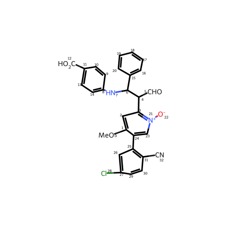 COc1cc(C(C=O)C(Nc2ccc(C(=O)O)cc2)c2ccccc2)[n+]([O-])cc1-c1cc(Cl)ccc1C#N